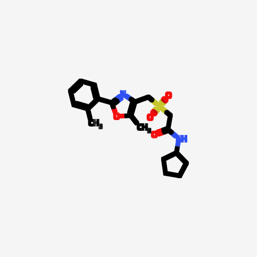 Cc1ccccc1-c1nc(CS(=O)(=O)CC(=O)NC2CCCC2)c(C)o1